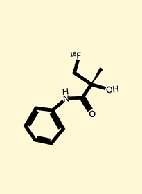 C[C@](O)(C[18F])C(=O)Nc1ccccc1